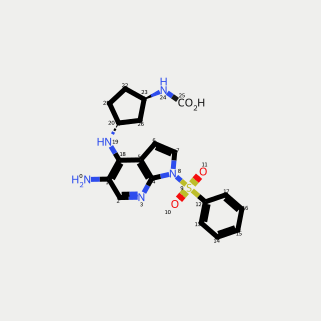 Nc1cnc2c(ccn2S(=O)(=O)c2ccccc2)c1N[C@@H]1CC[C@@H](NC(=O)O)C1